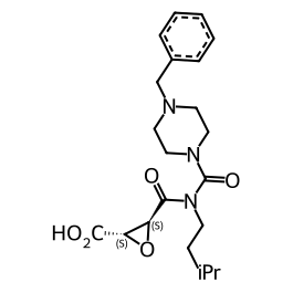 CC(C)CCN(C(=O)[C@H]1O[C@@H]1C(=O)O)C(=O)N1CCN(Cc2ccccc2)CC1